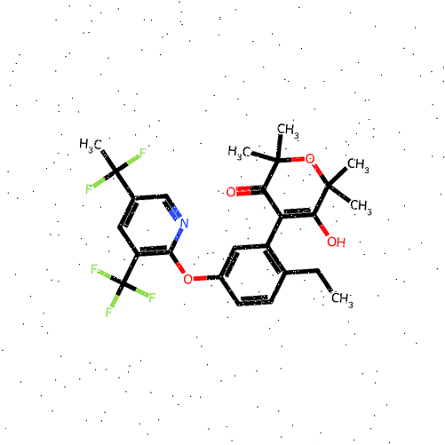 CCc1ccc(Oc2ncc(C(C)(F)F)cc2C(F)(F)F)cc1C1=C(O)C(C)(C)OC(C)(C)C1=O